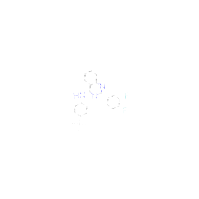 CC(C)(C)c1ccc(Nc2nc(-c3ccc(F)c(F)c3)nc3ccccc23)cc1